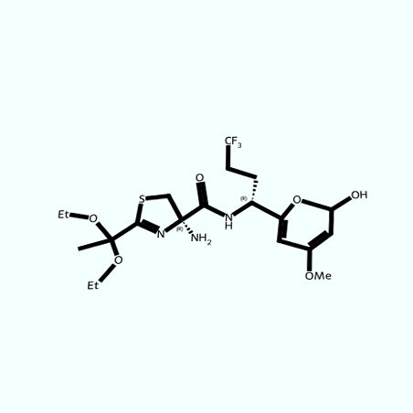 CCOC(C)(OCC)C1=N[C@](N)(C(=O)N[C@H](CCC(F)(F)F)C2=CC(OC)=CC(O)O2)CS1